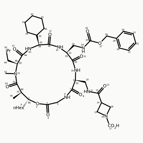 CCCCCC[C@H]1OC(=O)CNC(=O)[C@H](CNC(=O)C2CN(C(=O)O)C2)NC(=O)[C@H](CNC(=O)OCc2ccccc2)NC(=O)[C@H](C2CCCCC2)NC(=O)[C@H](CC(C)C)N(C)C(=O)[C@@H]1C